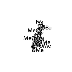 CCC(C)N(Cc1ccc(F)cc1)c1ccc(OC)c(C(C)C(C)N(Cc2ccc(SC)cc2)c2ccc(OC)c(C(C)C(C)N(Cc3ccc(OC)cc3)c3ccc(OC)cc3)c2)c1